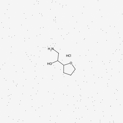 Cl.NCC(O)C1CCCO1